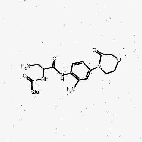 CC(C)(C)C(=O)N[C@@H](CN)C(=O)Nc1ccc(N2CCOCC2=O)cc1C(F)(F)F